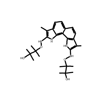 Cc1c(BOC(C)(C)C(C)(C)O)[nH]c2c1ccc1ccc3c(C)c(BOC(C)(C)C(C)(C)O)[nH]c3c12